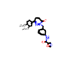 COc1ccc(C2=NN(Cc3cccc(NC(=O)c4cnco4)c3)C(=O)CC2)cc1OC